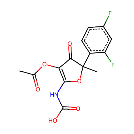 CC(=O)OC1=C(NC(=O)O)OC(C)(c2ccc(F)cc2F)C1=O